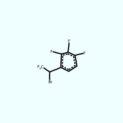 Fc1ccc(C(Br)C(F)(F)F)c(F)c1F